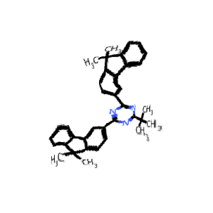 CC(C)(C)c1nc(-c2ccc3c(c2)-c2ccccc2C3(C)C)nc(-c2ccc3c(c2)-c2ccccc2C3(C)C)n1